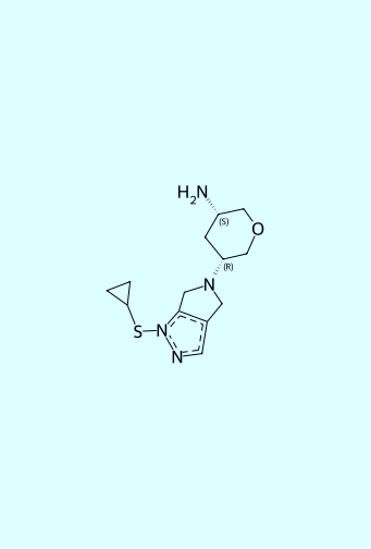 N[C@@H]1COC[C@H](N2Cc3cnn(SC4CC4)c3C2)C1